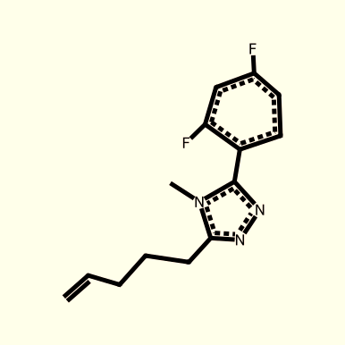 C=CCCCc1nnc(-c2ccc(F)cc2F)n1C